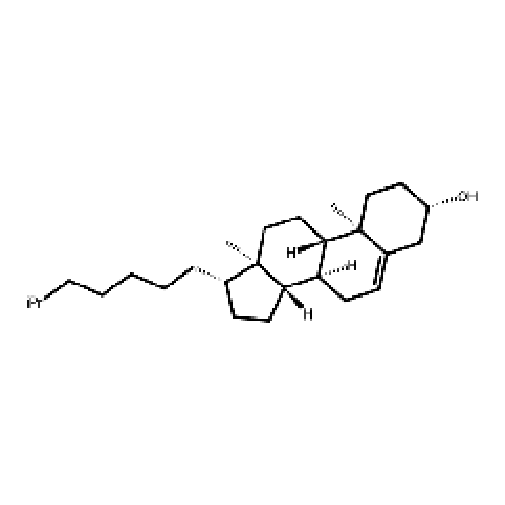 CC(C)CCCCC[C@H]1CC[C@H]2[C@@H]3CC=C4C[C@@H](O)CC[C@]4(C)[C@H]3CC[C@]12C